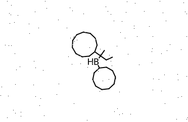 CCC(C)(BC1CCCCCCCCC1)C1CCCCCCCCCC1